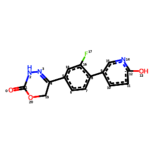 O=C1NN=C(c2ccc(-c3ccc(O)nc3)c(F)c2)CO1